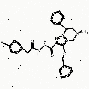 CN1Cc2c(OCc3ccccc3)c(C(=O)NNC(=O)Cc3ccc(F)cc3)nn2[C@@H](c2ccccc2)C1